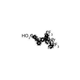 CCC[C@H]1N(C(=O)c2cnccc2C(F)(F)F)CCC[C@@]1(Oc1csc(C(F)(F)F)c1)C(=O)N1CCC(C#N)(c2ccccc2OC[C@H]2CC[C@@H](C(=O)O)C2)CC1